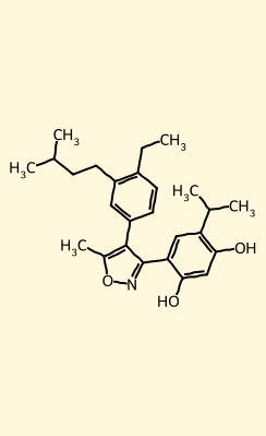 CCc1ccc(-c2c(-c3cc(C(C)C)c(O)cc3O)noc2C)cc1CCC(C)C